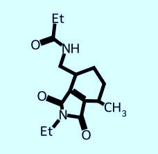 CCC(=O)NCC1CCC(C)C2=C1C(=O)N(CC)C2=O